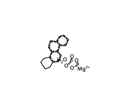 O.O=P[O-].O=P[O-].[Mg+2].c1ccc2c(c1)ccc1c3c(ccc12)CCCC3